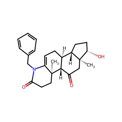 C[C@]12CC(=O)[C@H]3[C@@H](CC=C4N(Cc5ccccc5)C(=O)CC[C@@]43C)[C@@H]1CC[C@@H]2O